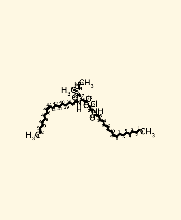 CCCCCCCC/C=C\CCCCCCCC(=O)NCC(Cl)OC(=O)[C@@H](CC[SH](C)CCC)NC(=O)CCCCCCC/C=C\CCCCCCCC